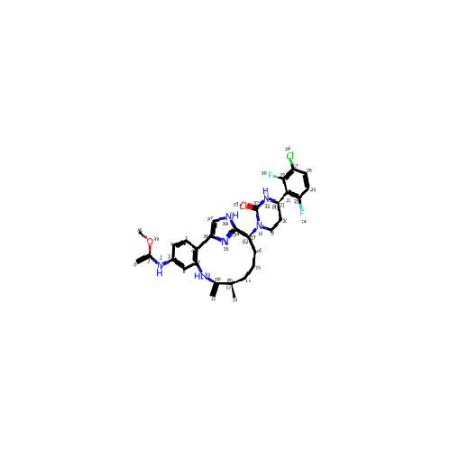 C=C(Nc1ccc2c(c1)NC(=C)[C@H](C)CCC[C@H](N1CC[C@H](c3c(F)ccc(Cl)c3F)NC1=O)c1nc-2c[nH]1)OC